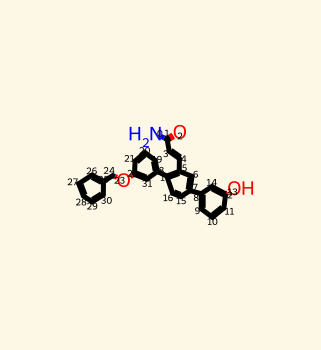 NC(=O)/C=C/c1cc(-c2cccc(O)c2)ccc1-c1cccc(OCc2ccccc2)c1